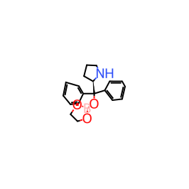 c1ccc(C(OB2OCCO2)(c2ccccc2)[C@H]2CCCN2)cc1